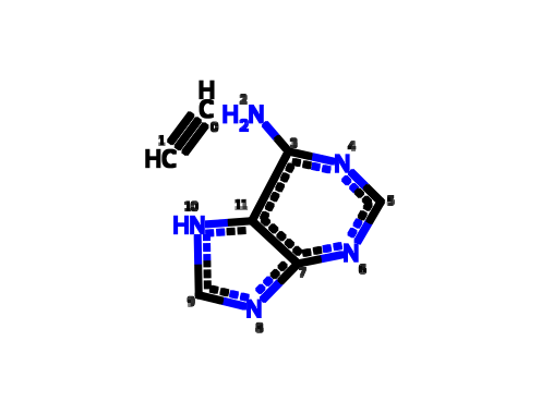 C#C.Nc1ncnc2nc[nH]c12